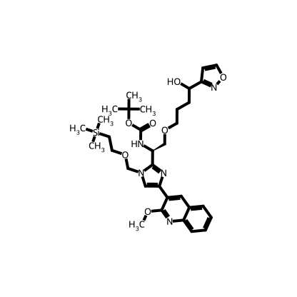 COc1nc2ccccc2cc1-c1cn(COCC[Si](C)(C)C)c([C@H](COCCCC(O)c2ccon2)NC(=O)OC(C)(C)C)n1